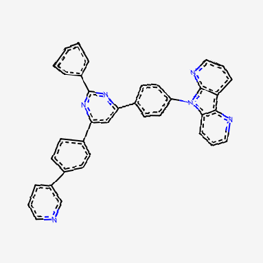 c1ccc(-c2nc(-c3ccc(-c4cccnc4)cc3)cc(-c3ccc(-n4c5cccnc5c5cccnc54)cc3)n2)cc1